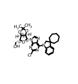 CC1(C)O[C@@H]2[C@H](O1)[C@@H](CO)O[C@H]2n1cnc2c(N3CC4(CCCCCC4)c4ccccc43)nc(Cl)nc21